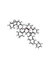 c1ccc(-c2ccc3ccc(N(c4ccc(-c5ccc6c(ccc7oc8ccccc8c76)c5)c(-c5ccccc5)c4)c4ccccc4-c4ccccc4)cc3c2)cc1